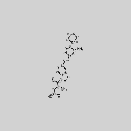 Nc1cc(COc2ccc3c(c2)CCN3C(=O)[C@H](N)CC(=O)O)ccc1-c1ccccc1